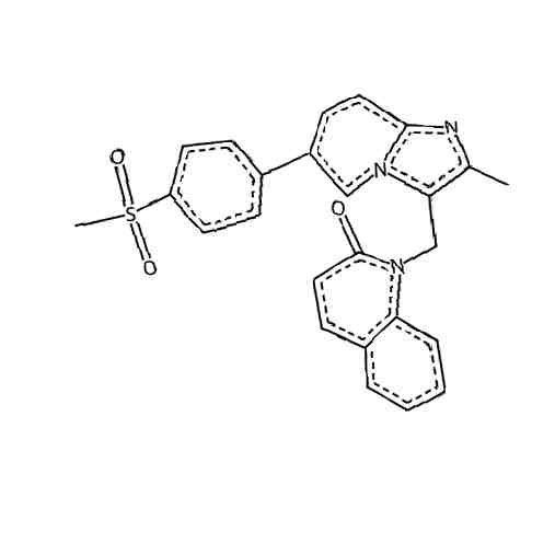 Cc1nc2ccc(-c3ccc(S(C)(=O)=O)cc3)cn2c1Cn1c(=O)ccc2ccccc21